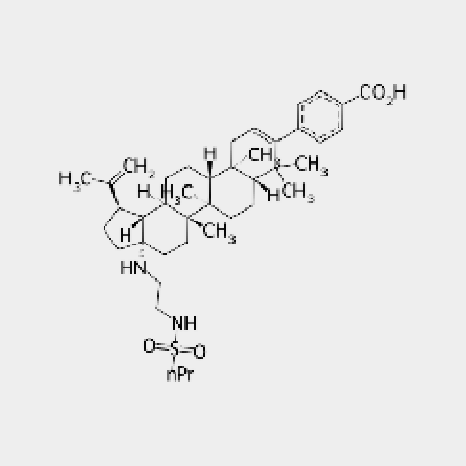 C=C(C)[C@@H]1CC[C@]2(NCCNS(=O)(=O)CCC)CC[C@]3(C)[C@H](CC[C@@H]4[C@@]5(C)CC=C(c6ccc(C(=O)O)cc6)C(C)(C)[C@@H]5CC[C@]43C)[C@@H]12